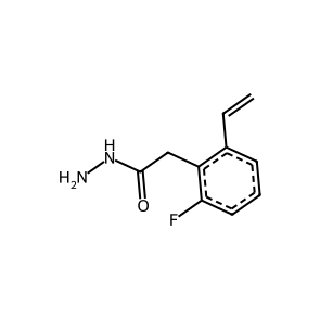 C=Cc1cccc(F)c1CC(=O)NN